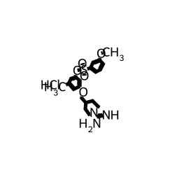 COc1cccc(S(=O)(=O)Oc2cc(C)cc(OCC3CCN(C(=N)N)CC3)c2)c1.Cl